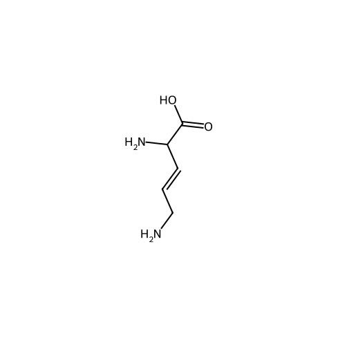 NC/C=C/C(N)C(=O)O